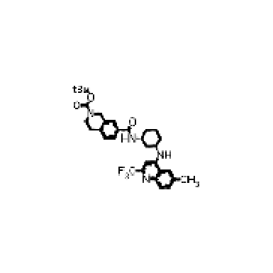 Cc1ccc2nc(C(F)(F)F)cc(N[C@H]3CCC[C@@H](NC(=O)c4ccc5c(c4)CN(C(=O)OC(C)(C)C)CC5)C3)c2c1